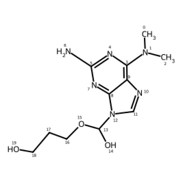 CN(C)c1nc(N)nc2c1ncn2C(O)OCCCO